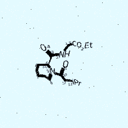 CCOC(=O)CNC(=O)[C@@H]1CCCN1C(=O)CC(C)C